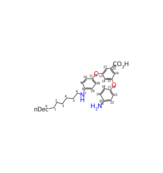 CCCCCCCCCCCCCCCCNc1ccc(Oc2cc(Oc3ccc(N)cc3)cc(C(=O)O)c2)cc1